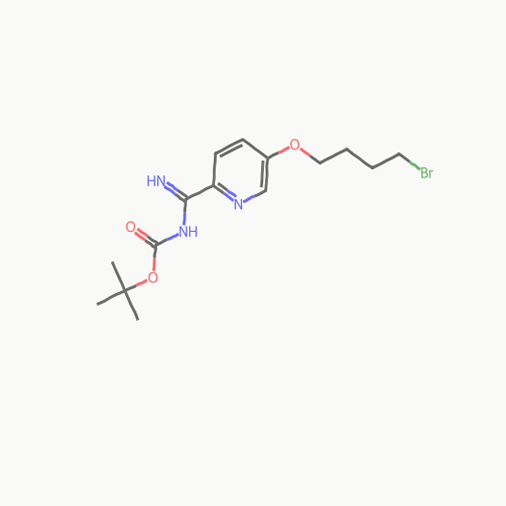 CC(C)(C)OC(=O)NC(=N)c1ccc(OCCCCBr)cn1